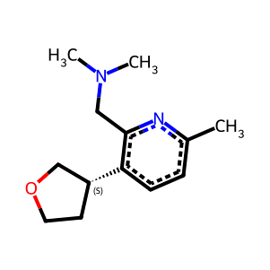 Cc1ccc([C@@H]2CCOC2)c(CN(C)C)n1